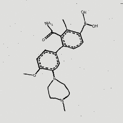 COc1ccc(-c2ccc(B(O)O)c(C)c2C(N)=O)cc1N1CCN(C)CC1